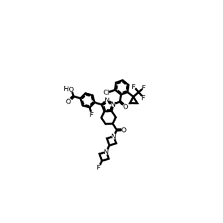 O=C(O)c1ccc(-c2nn(C(=O)c3c(Cl)cccc3C3(C(F)(F)F)CC3)c3c2CCC(C(=O)N2CC(N4CC(F)C4)C2)C3)c(F)c1